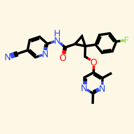 Cc1ncc(OCC2(c3ccc(F)cc3)CC2C(=O)Nc2ccc(C#N)cn2)c(C)n1